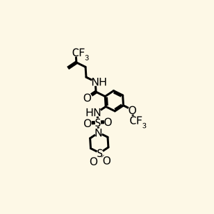 C=C(CCNC(=O)c1ccc(OC(F)(F)F)cc1NS(=O)(=O)N1CCS(=O)(=O)CC1)C(F)(F)F